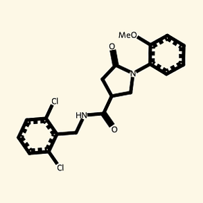 COc1ccccc1N1CC(C(=O)NCc2c(Cl)cccc2Cl)CC1=O